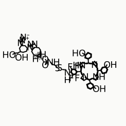 [N-]=[N+]=NC1CC(C(O)CO)CCC(n2nnc3c2CC[C@H]2[C@@H](CC3)[C@@H]2COC(=O)NCCSSCCNc2c(F)c(F)c(-c3c4nc(c(-c5cccc(O)c5)c5ccc([nH]5)c(-c5cccc(O)c5)c5nc(c(-c6cccc(O)c6)c6ccc3[nH]6)C=C5)C=C4)c(F)c2F)C1